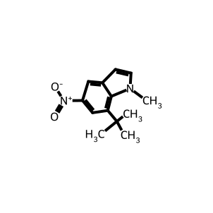 Cn1ccc2cc([N+](=O)[O-])cc(C(C)(C)C)c21